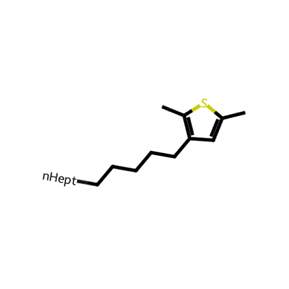 CCCCCCCCCCCCc1cc(C)sc1C